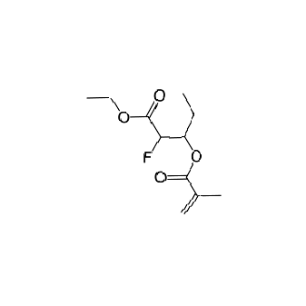 C=C(C)C(=O)OC(CC)C(F)C(=O)OCC